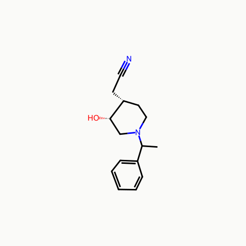 CC(c1ccccc1)N1CC[C@@H](CC#N)[C@@H](O)C1